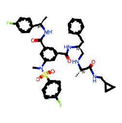 C[C@H](NC[C@H](Cc1ccccc1)NC(=O)c1cc(C(=O)N[C@H](C)c2ccc(F)cc2)cc(N(C)S(=O)(=O)c2ccc(F)cc2)c1)C(=O)NCC1CC1